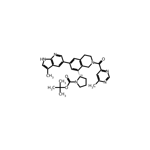 Cc1cc(C(=O)N2CCc3cc(-c4cnc5[nH]cc(C)c5c4)cc([C@@H]4CCCN4C(=O)OC(C)(C)C)c3C2)ncn1